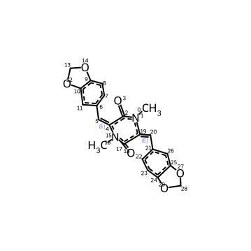 Cn1c(=O)/c(=C\c2ccc3c(c2)OCO3)n(C)c(=O)/c1=C\c1ccc2c(c1)OCO2